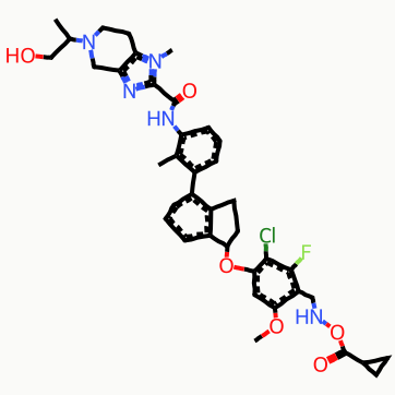 COc1cc(OC2CCc3c(-c4cccc(NC(=O)c5nc6c(n5C)CCN(C(C)CO)C6)c4C)cccc32)c(Cl)c(F)c1CNOC(=O)C1CC1